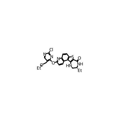 CCOCc1cnc(Cl)nc1Oc1ccc2c(ccc3sc4c(c32)NC[C@@H](CC)NC4=O)n1